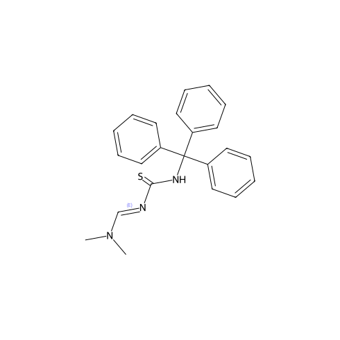 CN(C)/C=N/C(=S)NC(c1ccccc1)(c1ccccc1)c1ccccc1